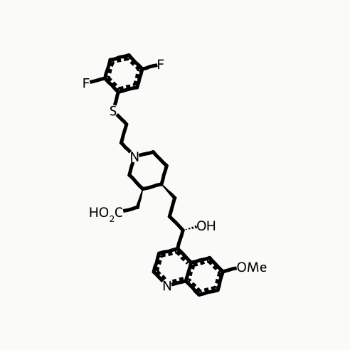 COc1ccc2nccc([C@@H](O)CC[C@@H]3CCN(CCSc4cc(F)ccc4F)C[C@@H]3CC(=O)O)c2c1